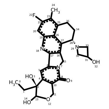 CC[C@]1(O)c2cc3n(c(=O)c2COC1O)Cc1c-3nc2cc(F)c(C)c3c2c1[C@@H](N1CC(O)C1)CC3